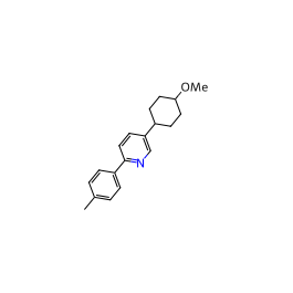 COC1CCC(c2ccc(-c3ccc(C)cc3)nc2)CC1